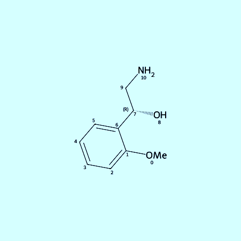 COc1ccccc1[C@@H](O)CN